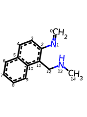 C=Nc1ccc2ccccc2c1CNC